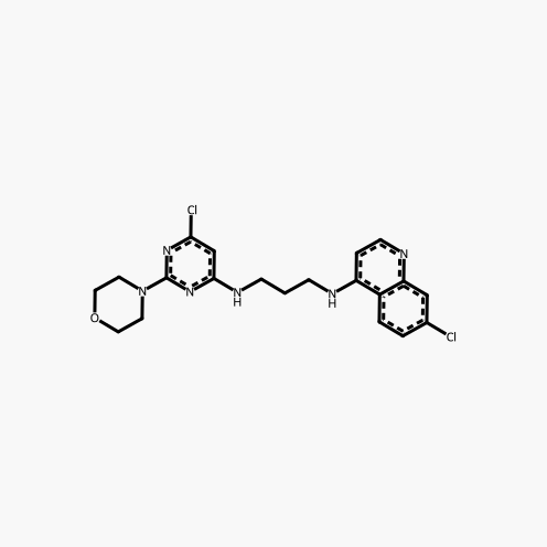 Clc1ccc2c(NCCCNc3cc(Cl)nc(N4CCOCC4)n3)ccnc2c1